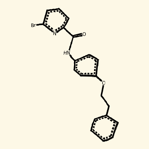 O=C(Nc1ccc(OCCc2ccccc2)cc1)c1cccc(Br)n1